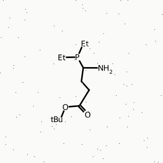 CCP(CC)C(N)CCC(=O)OC(C)(C)C